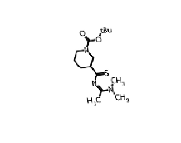 C/C(=N/C(=S)C1CCCN(C(=O)OC(C)(C)C)C1)N(C)C